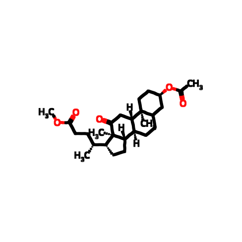 COC(=O)CC[C@@H](C)[C@H]1CC[C@H]2[C@@H]3CCC4C[C@H](OC(C)=O)CC[C@]4(C)[C@H]3CC(=O)[C@]12C